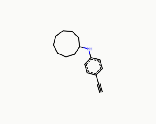 C#Cc1ccc(NC2CCCCCCCC2)cc1